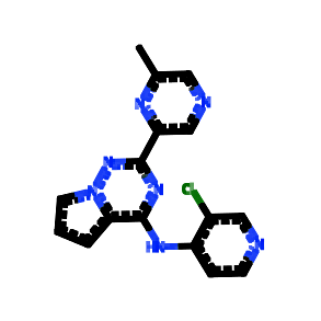 Cc1cncc(-c2nc(Nc3ccncc3Cl)c3cccn3n2)n1